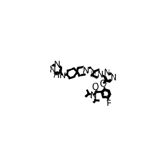 CC(C)N(C(=O)c1cc(F)ccc1Oc1cncnc1N1CC[C@@H](CN2CCC3(CCC(Nc4cncnc4)CC3)CC2)C1)C(C)C